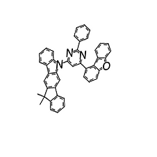 CC1(C)c2ccccc2-c2cc3c(cc21)c1ccccc1n3-c1cc(-c2cccc3oc4ccccc4c23)nc(-c2ccccc2)n1